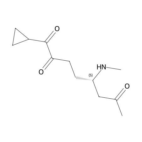 CN[C@@H](CCC(=O)C(=O)C1CC1)CC(C)=O